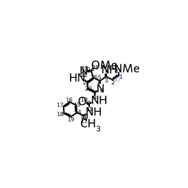 CN/C=C\C(=N)c1nc(NC(=O)N[C@H](C)c2ccccc2)cc2[nH]nc(OC)c12